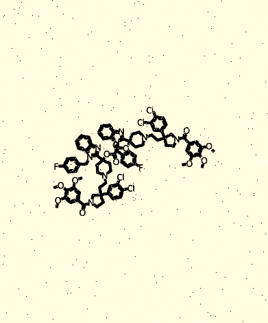 COc1cc(C(=O)N2CCC(CCN3CCC(OC(=O)C(=O)OC4(c5nc6ccccc6n5Cc5ccc(F)cc5)CCN(CCC5(c6ccc(Cl)c(Cl)c6)CCN(C(=O)c6cc(OC)c(OC)c(OC)c6)C5)CC4)(c4nc5ccccc5n4Cc4ccc(F)cc4)CC3)(c3ccc(Cl)c(Cl)c3)C2)cc(OC)c1OC